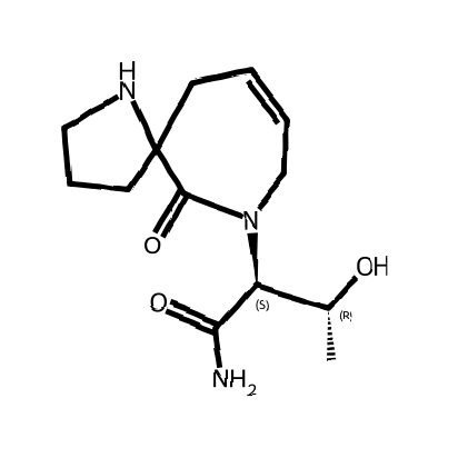 C[C@@H](O)[C@@H](C(N)=O)N1CC=CCC2(CCCN2)C1=O